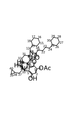 CC(=O)Oc1cc(O)c2c3c1O[C@H]1[C@H](N(CC4CCCCC4)C(=O)CCCCC4CCCCC4)CC[C@H]4[C@@H](C2)N(CC2CC2)CC[C@@]341